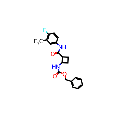 O=C(NC1CCC1C(=O)Nc1ccc(F)c(C(F)(F)F)c1)OCc1ccccc1